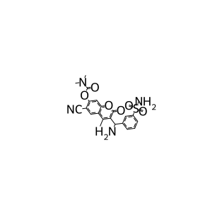 Cc1c(C(N)c2cccc(S(N)(=O)=O)c2)c(=O)oc2cc(OC(=O)N(C)C)c(C#N)cc12